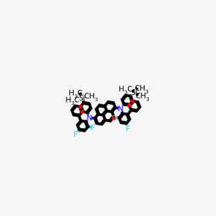 C[Si](C)(C)c1ccc(N(c2c(F)cc(F)cc2-c2ccccc2)c2ccc3ccc4c(N(c5ccc([Si](C)(C)C)cc5)c5c(F)cc(F)cc5-c5ccccc5)ccc5ccc2c3c54)cc1